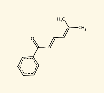 CC(C)=C/C=C/C(=O)c1ccccc1